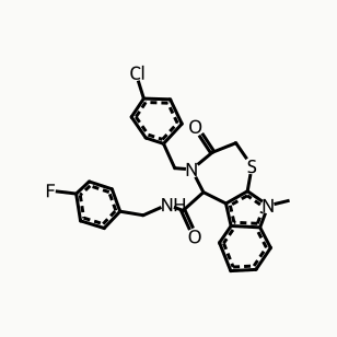 Cn1c2c(c3ccccc31)C(C(=O)NCc1ccc(F)cc1)N(Cc1ccc(Cl)cc1)C(=O)CS2